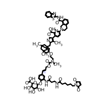 CC1=C(c2ccc(N3CCc4cccc(C(=O)Nc5nc6ccccc6s5)c4C3)nc2C(=O)O)C=NC1CC12CC3(C)CC(C)(C1)CC(OCCN(C)C(=O)OC/C=C/c1ccc(O[C@@H]4O[C@H](C(=O)O)[C@H](O)[C@H](O)[C@@H]4O)c(NC(=O)CCNC(=O)CCCCCN4C(=O)C=CC4=O)c1)(C3)C2